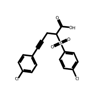 O=C(O)C(CC#Cc1ccc(Cl)cc1)S(=O)(=O)c1ccc(Cl)cc1